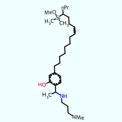 CCCC(CC/C=C\CCCCCCCc1ccc(C(C)NCCCNC)c(O)c1)[Si](C)(C)OC